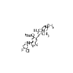 COc1cc2c(Nc3ccc(F)c(Cl)c3)ncnc2cc1C#CC(C)(C)N1CCN(C)CC1